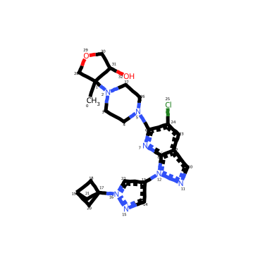 CC1(N2CCN(c3nc4c(cnn4-c4cnn(C56CC(C5)C6)c4)cc3Cl)CC2)COCC1O